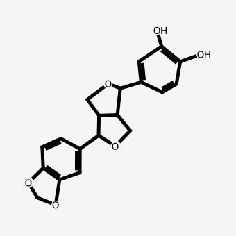 Oc1ccc(C2OCC3C(c4ccc5c(c4)OCO5)OCC23)cc1O